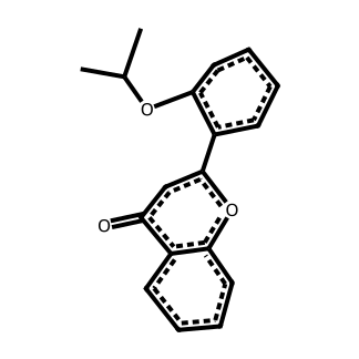 CC(C)Oc1ccccc1-c1cc(=O)c2ccccc2o1